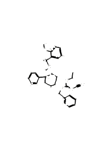 CCNC(=NC#N)N(Cc1ccccc1)[C@H]1CC[C@](CNC(=O)c2ccccc2OC)(c2ccccc2)CC1